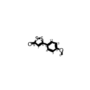 COc1ccc(-c2cc(=O)ss2)cc1